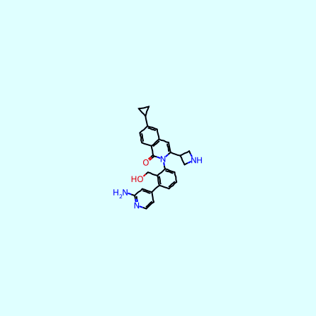 Nc1cc(-c2cccc(-n3c(C4CNC4)cc4cc(C5CC5)ccc4c3=O)c2CO)ccn1